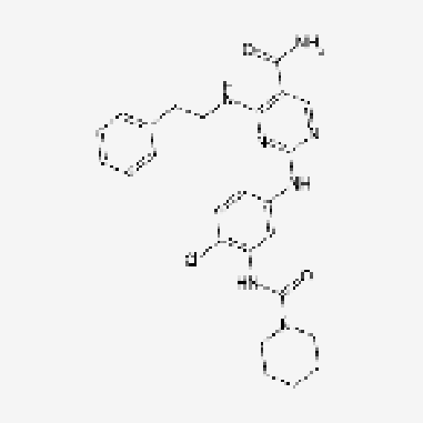 NC(=O)c1cnc(Nc2ccc(Cl)c(NC(=O)N3CCCCC3)c2)nc1NCCc1ccccc1